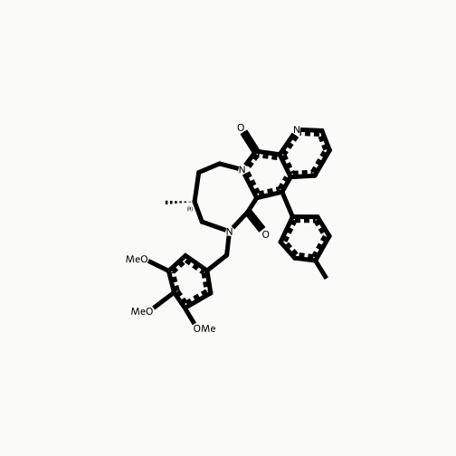 COc1cc(CN2C[C@H](C)CCn3c(c(-c4ccc(C)cc4)c4cccnc4c3=O)C2=O)cc(OC)c1OC